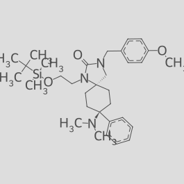 COc1ccc(CN2C[C@]3(CC[C@](c4ccccc4)(N(C)C)CC3)N(CCO[Si](C)(C)C(C)(C)C)C2=O)cc1